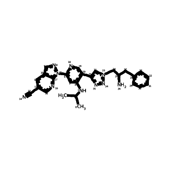 CC(C)Nc1cc(-n2ncc3cc(C#N)cnc32)ncc1-c1cn(CC(N)Cc2ccccc2)nn1